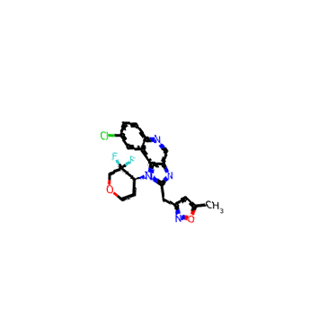 Cc1cc(Cc2nc3cnc4ccc(Cl)cc4c3n2[C@H]2CCOCC2(F)F)no1